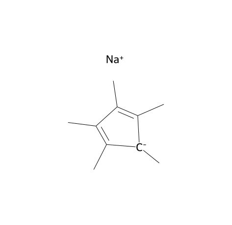 Cc1c(C)c(C)[c-](C)c1C.[Na+]